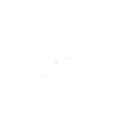 Fc1c(F)c(F)c([B-](c2c(F)c(F)c(F)c(F)c2F)(c2c(F)c(F)c(F)c(F)c2F)c2c(F)c(F)c(F)c(F)c2F)c(F)c1F.c1ccc[cH+]cc1